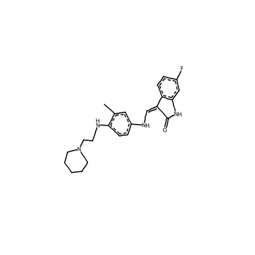 Cc1cc(NC=C2C(=O)Nc3cc(F)ccc32)ccc1NCCN1CCCCC1